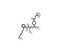 C=C(S/C=C(\C)C(=O)Nc1ccccc1CCCCCCC)C1CCC(C(=O)CCC(C)=O)CC1